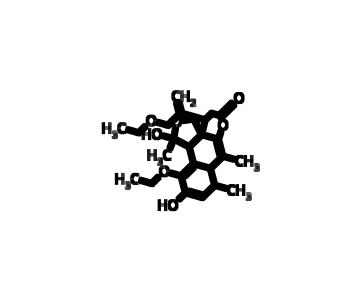 C=C(COCC)C1CC(=O)OC2=C(C)C3C(=C(OCC)C(O)=CC3C)C3C(C)(O)OCC213